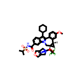 COc1ccc2c(c1)[C@@H]1C[C@]1(C(=O)N1CC34COCC3(CN(CC(F)(F)F)C4)C1)Cn1c-2c(C2CCCCC2)c2ccc(C(=O)NS(=O)(=O)C(C)C)cc21